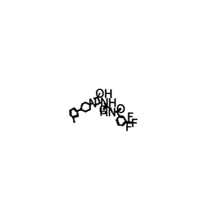 Cc1cccc(C2CCC(N3C[C@@H](O)[C@@H](NC(=O)CNC(=O)c4cccc(C(F)(F)F)c4)C3)CC2)c1